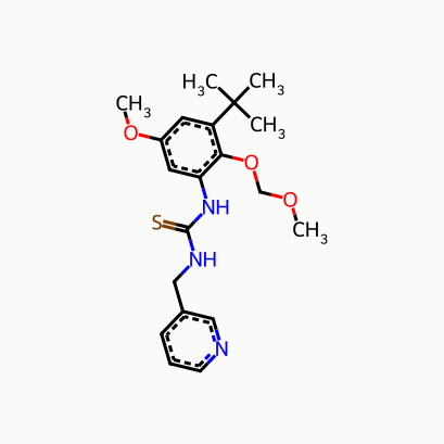 COCOc1c(NC(=S)NCc2cccnc2)cc(OC)cc1C(C)(C)C